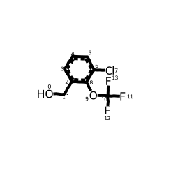 O[CH]c1cccc(Cl)c1OC(F)(F)F